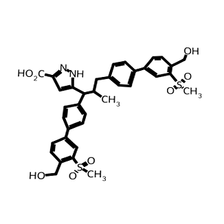 CC(Cc1ccc(-c2ccc(CO)c(S(C)(=O)=O)c2)cc1)C(c1ccc(-c2ccc(CO)c(S(C)(=O)=O)c2)cc1)c1cc(C(=O)O)n[nH]1